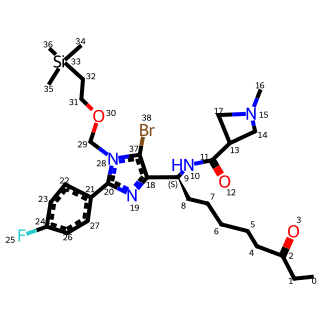 CCC(=O)CCCCC[C@H](NC(=O)C1CN(C)C1)c1nc(-c2ccc(F)cc2)n(COCC[Si](C)(C)C)c1Br